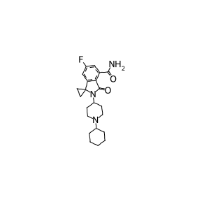 NC(=O)c1cc(F)cc2c1C(=O)N(C1CCN(C3CCCCC3)CC1)C21CC1